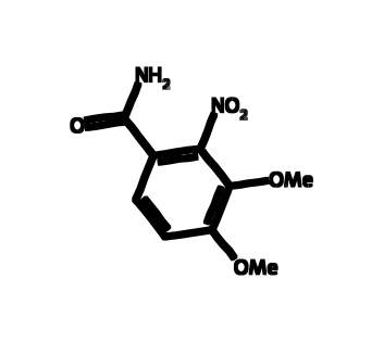 COc1ccc(C(N)=O)c([N+](=O)[O-])c1OC